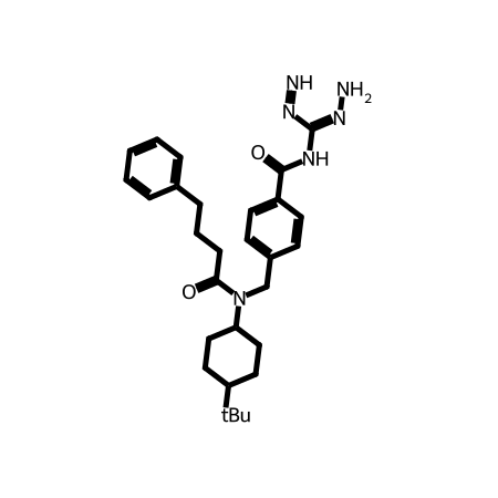 CC(C)(C)C1CCC(N(Cc2ccc(C(=O)N/C(N=N)=N/N)cc2)C(=O)CCCc2ccccc2)CC1